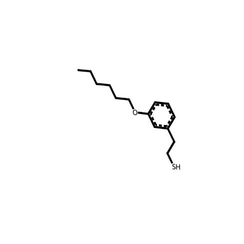 CCCCCCOc1cccc(CCS)c1